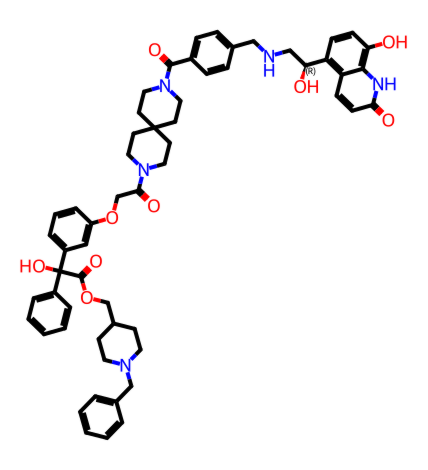 O=C(COc1cccc(C(O)(C(=O)OCC2CCN(Cc3ccccc3)CC2)c2ccccc2)c1)N1CCC2(CC1)CCN(C(=O)c1ccc(CNC[C@H](O)c3ccc(O)c4[nH]c(=O)ccc34)cc1)CC2